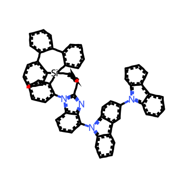 c1ccc2c(c1)-c1ccccc1[Si]1(c3ccccc3-2)c2ccccc2-c2nc3c(-n4c5ccccc5c5cc(-n6c7ccccc7c7ccccc76)ccc54)cccc3n2-c2ccccc21